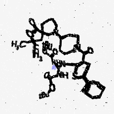 CC(C)(C)OC(=O)/N=C(/NC(=O)OC(C)(C)C)Nc1sc(-c2ccccc2)cc1C(=O)N1CCC(N2CCCC3(C2)CC(C)(C)OC3=O)CC1